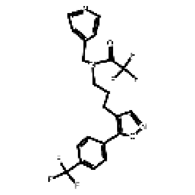 O=C(N(CCCc1cnoc1-c1ccc(C(F)(F)F)cc1)Cc1ccncc1)C(F)(F)F